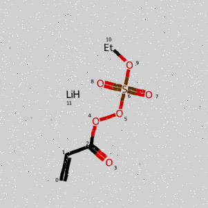 C=CC(=O)OOS(=O)(=O)OCC.[LiH]